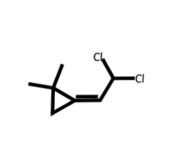 CC1(C)C/C1=C/C(Cl)Cl